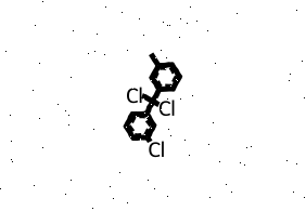 Cc1cccc(C(Cl)(Cl)c2cccc(Cl)c2)c1